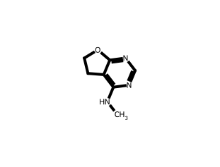 CNc1ncnc2c1CCO2